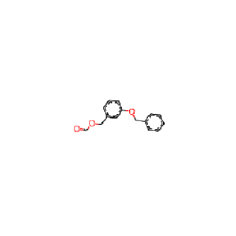 O=COCc1cccc(OCc2ccccc2)c1